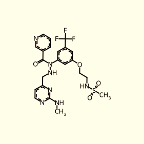 CNc1nccc(CNN(C(=O)c2cccnc2)c2cc(OCCNS(C)(=O)=O)cc(C(F)(F)F)c2)n1